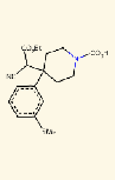 CCOC(=O)C(C#N)C1(c2cccc(SC)c2)CCN(C(=O)O)CC1